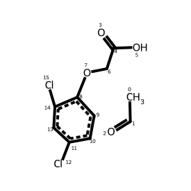 CC=O.O=C(O)COc1ccc(Cl)cc1Cl